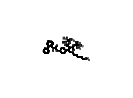 CCCCCCCCC(N1CCC(OC(=O)Nc2ccccc2-c2ccccc2)CC1)N(C(=O)OC(C)(C)C)C(=O)OC(C)(C)C